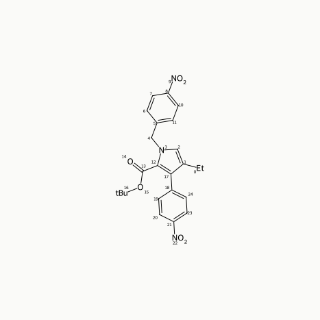 CCc1cn(Cc2ccc([N+](=O)[O-])cc2)c(C(=O)OC(C)(C)C)c1-c1ccc([N+](=O)[O-])cc1